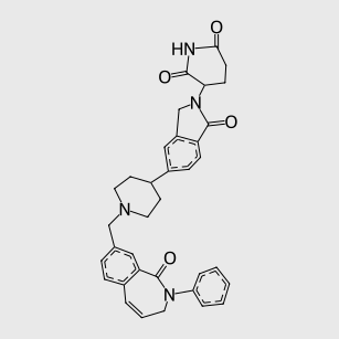 O=C1CCC(N2Cc3cc(C4CCN(Cc5ccc6c(c5)C(=O)N(c5ccccc5)CC=C6)CC4)ccc3C2=O)C(=O)N1